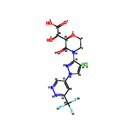 Cl.O=C(O)[C@H](O)[C@H]1OCCN(c2ccn(-c3cnnc(C(F)(F)F)c3)n2)C1=O